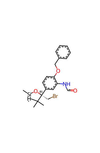 C[SiH](C)O[C@@](CBr)(c1ccc(OCc2ccccc2)c(NC=O)c1)C(C)(C)C